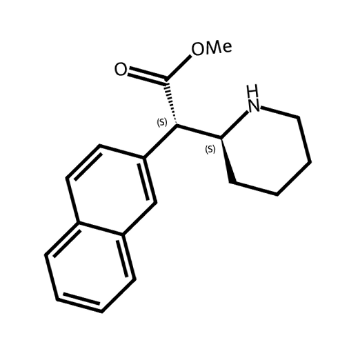 COC(=O)[C@@H](c1ccc2ccccc2c1)[C@@H]1CCCCN1